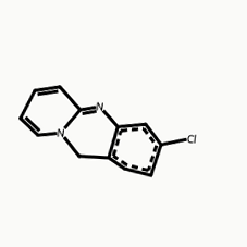 Clc1ccc2c(c1)N=C1C=CC=CN1C2